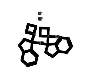 CCC[Si]1([C]2([Ti+2][C]3([Si]4(CCC)CCC4)CCC4CC=CC=C43)CCC3CC=CC=C32)CCC1.[Cl-].[Cl-]